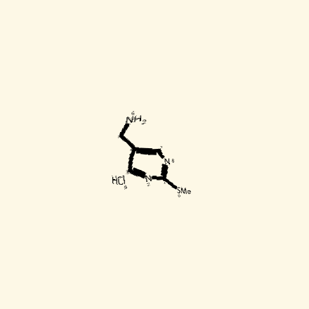 CSc1ncc(CN)cn1.Cl